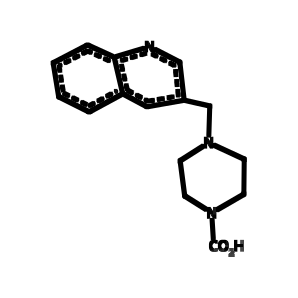 O=C(O)N1CCN(Cc2cnc3ccccc3c2)CC1